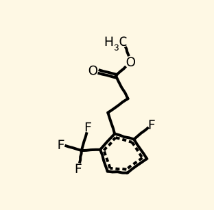 COC(=O)CCc1c(F)cccc1C(F)(F)F